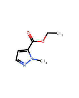 CCOC(=O)c1ccnn1C